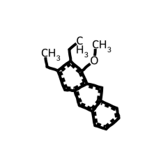 CCc1cc2cc3ccccc3cc2c(OC)c1CC